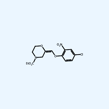 CCOC(=O)N1CCOC(=COc2ccc(Cl)cc2[N+](=O)[O-])C1